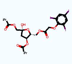 CC(C)C(=O)OC[C@]1(O)C[C@H](OC(=O)C(C)C)[C@@H](COC(=O)COc2c(I)cc(I)cc2I)O1